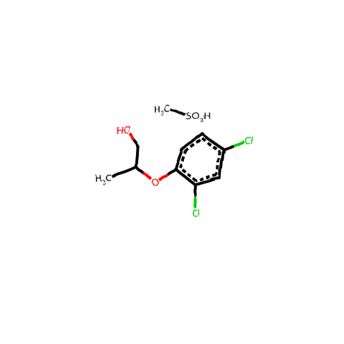 CC(CO)Oc1ccc(Cl)cc1Cl.CS(=O)(=O)O